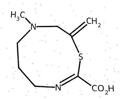 C=C1CN(C)CCC/N=C(/C(=O)O)S1